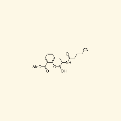 COC(=O)c1cccc2c1OB(O)C(NC(=O)CCCC#N)C2